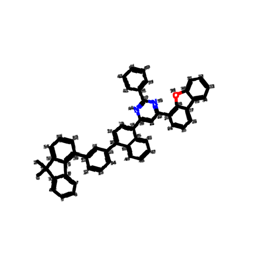 CC1(C)c2ccccc2-c2c(-c3cccc(-c4ccc(-c5cc(-c6cccc7c6oc6ccccc67)nc(-c6ccccc6)n5)c5ccccc45)c3)cccc21